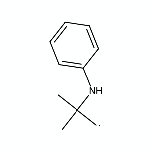 [CH2]C(C)(C)Nc1ccccc1